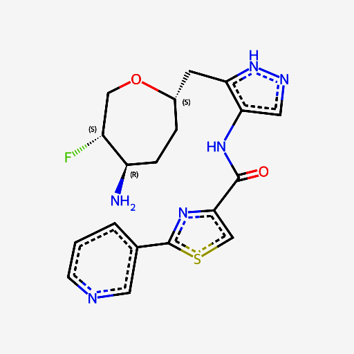 N[C@@H]1CC[C@@H](Cc2[nH]ncc2NC(=O)c2csc(-c3cccnc3)n2)OC[C@H]1F